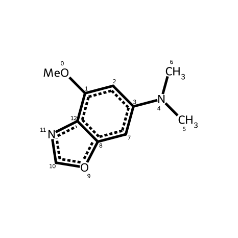 COc1cc(N(C)C)cc2ocnc12